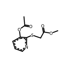 COC(=O)CSc1ncccc1OC(C)=O